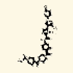 Cn1c(-c2cn(-c3ccc(Cl)nn3)nc2C(F)(F)F)cnc1C(=O)Nc1ccc(C(=O)N2CCN(C(=O)C3CCN(C(=O)OC(C)(C)C)CC3)CC2)c(Cl)c1